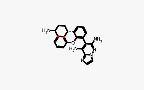 Nc1nn2ccnc2c(N)c1-c1cccc([C@H]2CC[C@H](N)CC2)c1Oc1ccccc1